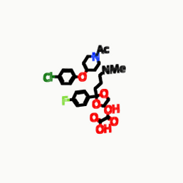 CC(=O)N1CCC(Oc2ccc(Cl)cc2)CC1.CNCCCC1(c2ccc(F)cc2)OCCO1.O=C(O)C(=O)O